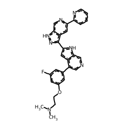 CN(C)CCOc1cc(F)cc(-c2cncc3[nH]c(-c4n[nH]c5cnc(-c6ccccn6)cc45)cc23)c1